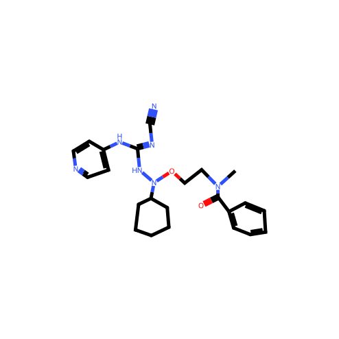 CN(CCON(N/C(=N/C#N)Nc1ccncc1)C1CCCCC1)C(=O)c1ccccc1